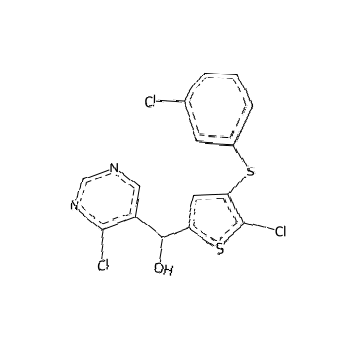 OC(c1cc(Sc2cccc(Cl)c2)c(Cl)s1)c1cncnc1Cl